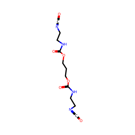 O=C=NCCNC(=O)OCCCOC(=O)NCCN=C=O